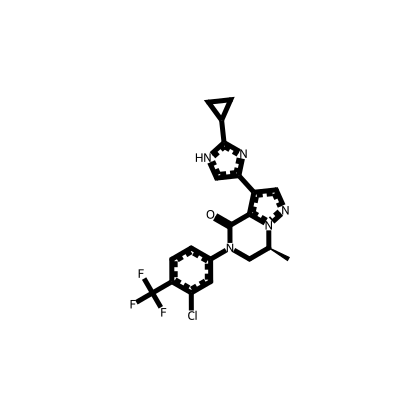 C[C@H]1CN(c2ccc(C(F)(F)F)c(Cl)c2)C(=O)c2c(-c3c[nH]c(C4CC4)n3)cnn21